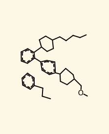 CCCCCC1CCC(c2ccccc2-c2ccc(C3CCC(COC)CC3)cc2)CC1.CCCc1ccccc1